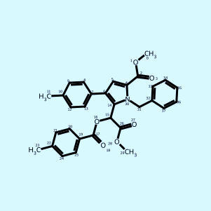 COC(=O)c1cc(-c2ccc(C)cc2)c(C(OC(=O)c2ccc(C)cc2)C(=O)OC)n1Cc1ccccc1